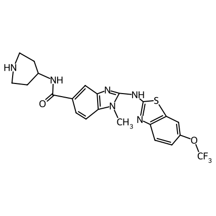 Cn1c(Nc2nc3ccc(OC(F)(F)F)cc3s2)nc2cc(C(=O)NC3CCNCC3)ccc21